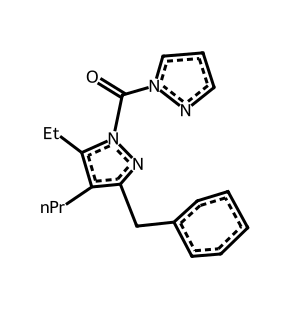 CCCc1c(Cc2ccccc2)nn(C(=O)n2cccn2)c1CC